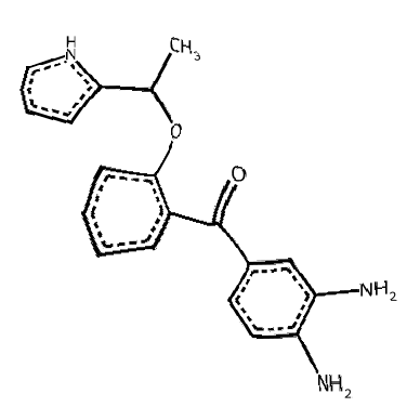 CC(Oc1ccccc1C(=O)c1ccc(N)c(N)c1)c1ccc[nH]1